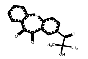 CC(C)(O)C(=O)c1ccc2oc3ccccc3c(=O)c(=O)c2c1